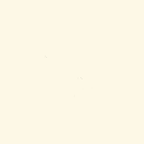 O=C(O)NC(CO)Cc1ccc([N+](=O)[O-])cc1